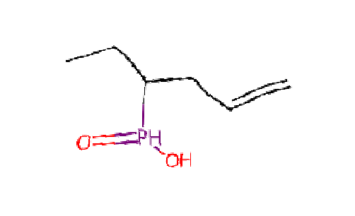 C=CCC(CC)[PH](=O)O